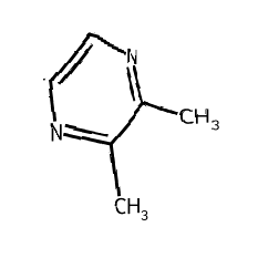 Cc1n[c]cnc1C